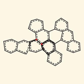 c1ccc2cc(-c3c4ccccc4c(-c4cccc5cc6ccccc6c(-c6cc7ccccc7c7ccccc67)c45)c4ccccc34)ccc2c1